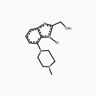 CCn1c(COC(C)=O)nc2cccc(N3CCN(C)CC3)c21